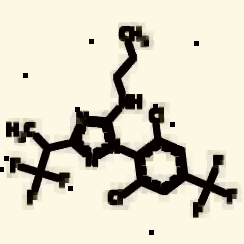 CCCNc1nc(C(C)C(F)(F)F)nn1-c1c(Cl)cc(C(F)(F)F)cc1Cl